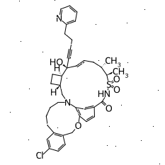 C[C@@H]1[C@@H](C)C/C=C/[C@@](O)(C#CCCc2ccccn2)[C@@H]2CC[C@H]2CN2CCCCc3cc(Cl)ccc3COc3ccc(cc32)C(=O)NS1(=O)=O